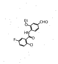 CCOc1cc(C=O)ccc1NC(=O)c1cc(F)ccc1Cl